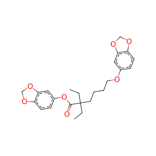 CCC(CC)(CCCCOc1ccc2c(c1)OCO2)C(=O)Oc1ccc2c(c1)OCO2